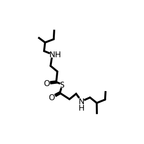 CCC(C)CNCCC(=O)SC(=O)CCNCC(C)CC